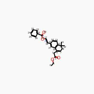 CCOC(=O)CC1=CCC(C)(C)c2ccc(/C=C/OC(=O)c3ccccc3)cc21